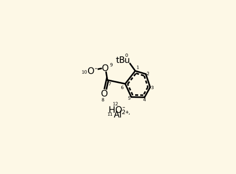 CC(C)(C)c1ccccc1C(=O)O[O-].[Al+2].[OH-]